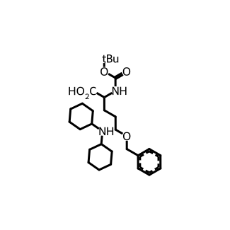 C1CCC(NC2CCCCC2)CC1.CC(C)(C)OC(=O)NC(CCCOCc1ccccc1)C(=O)O